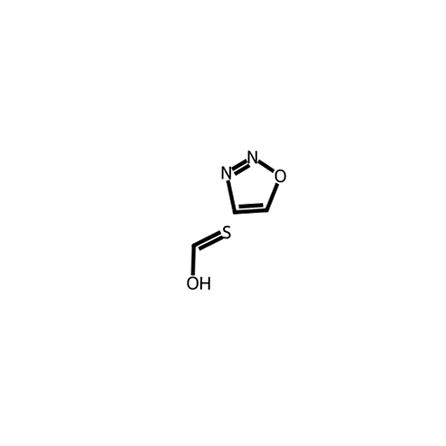 OC=S.c1conn1